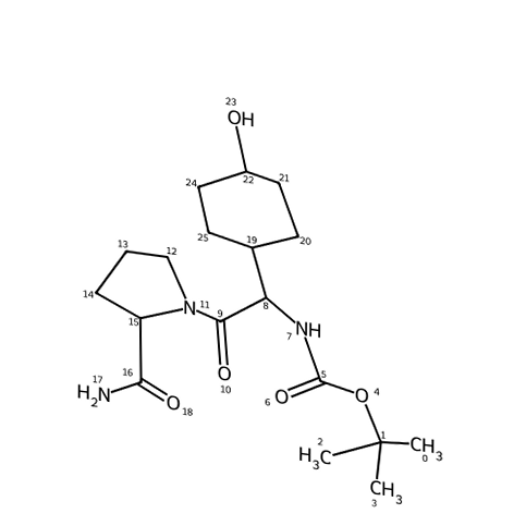 CC(C)(C)OC(=O)NC(C(=O)N1CCCC1C(N)=O)C1CCC(O)CC1